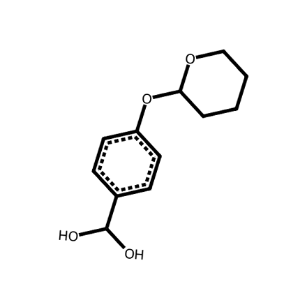 OC(O)c1ccc(OC2CCCCO2)cc1